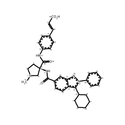 CN1CC[C@](NC(=O)c2ccc3c(C4CCCCC4)n(-c4ccccc4)nc3c2)(C(=O)Nc2ccc(C=CC(=O)O)cc2)C1